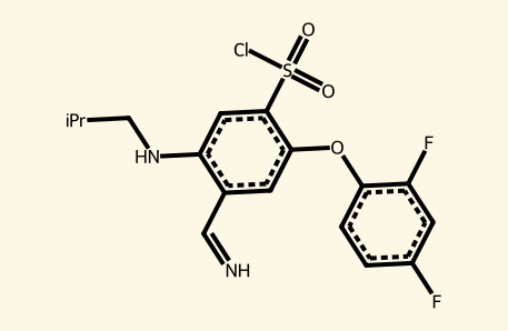 CC(C)CNc1cc(S(=O)(=O)Cl)c(Oc2ccc(F)cc2F)cc1C=N